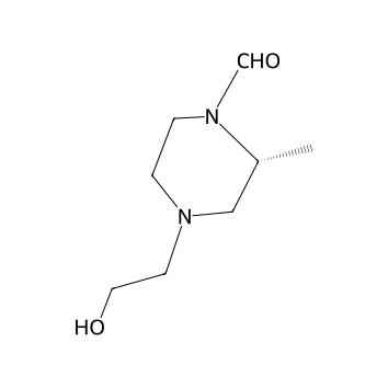 C[C@@H]1CN(CCO)CCN1C=O